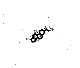 CC(=O)[C@H]1CC[C@H]2[C@@H]3CC=C4CC(C(O)CO)CC[C@]4(C)[C@H]3C(O)C[C@]12C